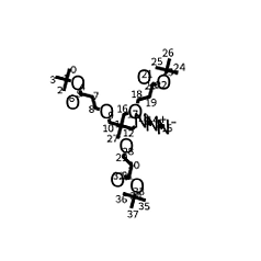 CC(C)(C)OC(=O)CCOCC(CN=[N+]=[N-])(COCCC(=O)OC(C)(C)C)COCCC(=O)OC(C)(C)C